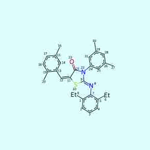 CCc1cccc(CC)c1N=C1SC(=Cc2cc(C)ccc2C)C(=O)N1c1cc(C)cc(C)c1